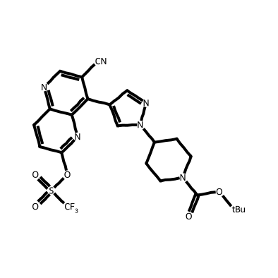 CC(C)(C)OC(=O)N1CCC(n2cc(-c3c(C#N)cnc4ccc(OS(=O)(=O)C(F)(F)F)nc34)cn2)CC1